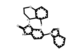 O=c1[nH]c2ccc(-n3cnc4ccccc43)nc2n1[C@@H]1CCOc2cccc(F)c21